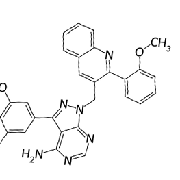 COc1ccccc1-c1nc2ccccc2cc1Cn1nc(-c2cc(O)cc(F)c2)c2c(N)ncnc21